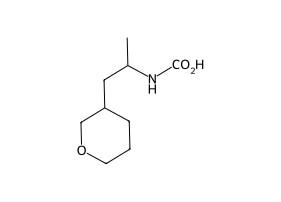 CC(CC1CCCOC1)NC(=O)O